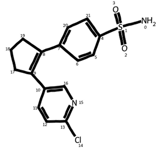 NS(=O)(=O)c1ccc(C2=C(c3ccc(Cl)nc3)CCC2)cc1